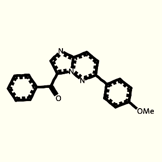 COc1ccc(-c2ccc3ncc(C(=O)c4ccccc4)n3n2)cc1